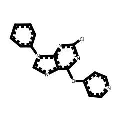 Clc1nc(Oc2ccncc2)c2ncn(-c3ccccc3)c2n1